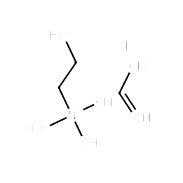 C=CC.C[N+](C)(C)CCO.[Cl-]